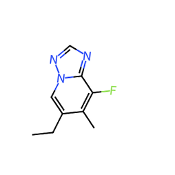 CCc1cn2ncnc2c(F)c1C